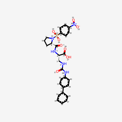 O=C(NC[C@H](NC(=O)[C@@H]1CCCN1S(=O)(=O)c1ccc([N+](=O)[O-])cc1)C(=O)O)Nc1ccc(-c2ccccc2)cc1